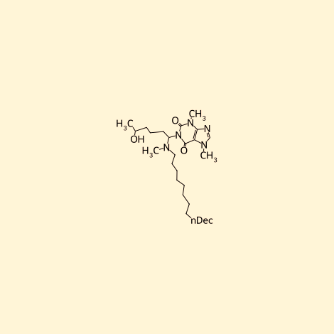 CCCCCCCCCCCCCCCCCCN(C)C(CCCC(C)O)n1c(=O)c2c(ncn2C)n(C)c1=O